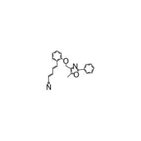 Cc1oc(-c2ccccc2)nc1COc1ccccc1C=CC=CC#N